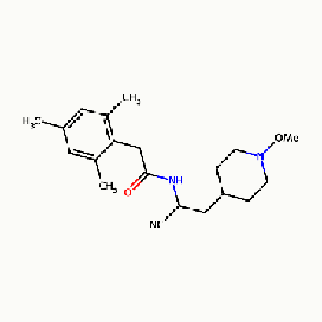 CON1CCC(CC(C#N)NC(=O)Cc2c(C)cc(C)cc2C)CC1